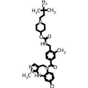 Cc1cc(C(=O)N2Cc3cnn(C)c3Nc3cc(Cl)ccc32)ccc1CNC(=O)OC1CCN(CCC(C)(C)C)CC1